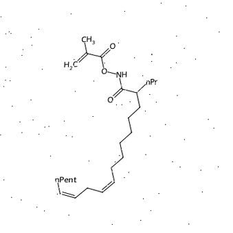 C=C(C)C(=O)ONC(=O)C(CCC)CCCCCC/C=C\C/C=C\CCCCC